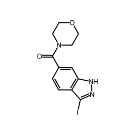 O=C(c1ccc2c(I)n[nH]c2c1)N1CCOCC1